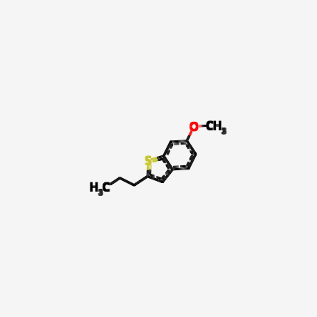 CCCc1cc2ccc(OC)cc2s1